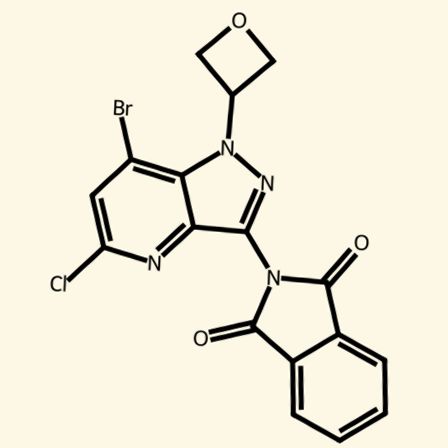 O=C1c2ccccc2C(=O)N1c1nn(C2COC2)c2c(Br)cc(Cl)nc12